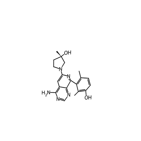 Cc1ccc(O)c(C)c1-c1nc(N2CC[C@](C)(O)C2)cc2c(N)ncnc12